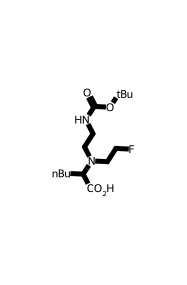 CCCCC(C(=O)O)N(CCF)CCNC(=O)OC(C)(C)C